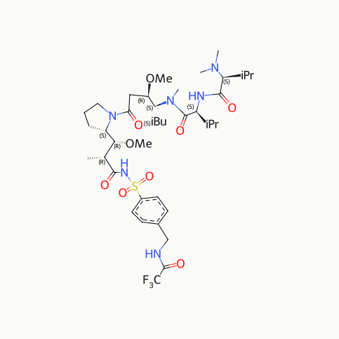 CC[C@H](C)[C@@H]([C@@H](CC(=O)N1CCC[C@H]1[C@H](OC)[C@@H](C)C(=O)NS(=O)(=O)c1ccc(CNC(=O)C(F)(F)F)cc1)OC)N(C)C(=O)[C@@H](NC(=O)[C@H](C(C)C)N(C)C)C(C)C